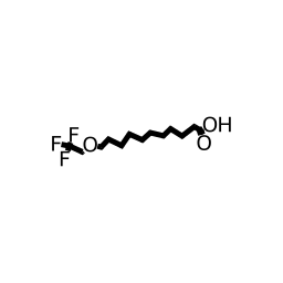 O=C(O)CCCCCCCCCCOCC(F)(F)F